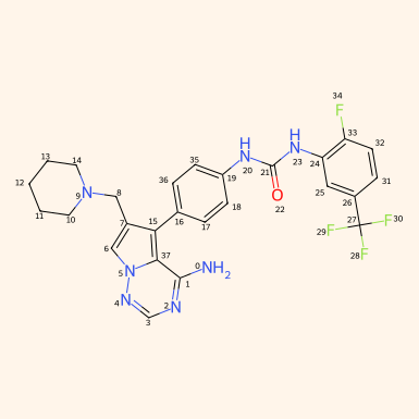 Nc1ncnn2cc(CN3CCCCC3)c(-c3ccc(NC(=O)Nc4cc(C(F)(F)F)ccc4F)cc3)c12